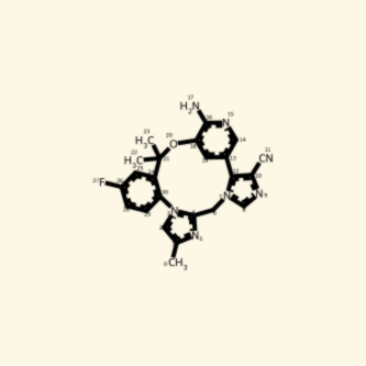 Cc1cn2c(n1)Cn1cnc(C#N)c1-c1cnc(N)c(c1)OC(C)(C)c1cc(F)ccc1-2